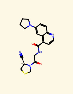 N#C[C@@H]1CSCN1C(=O)CNC(=O)c1ccnc2ccc(N3CCCC3)cc12